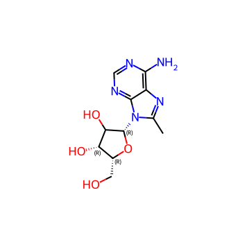 Cc1nc2c(N)ncnc2n1[C@@H]1O[C@H](CO)[C@H](O)C1O